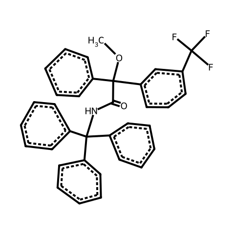 COC(C(=O)NC(c1ccccc1)(c1ccccc1)c1ccccc1)(c1ccccc1)c1cccc(C(F)(F)F)c1